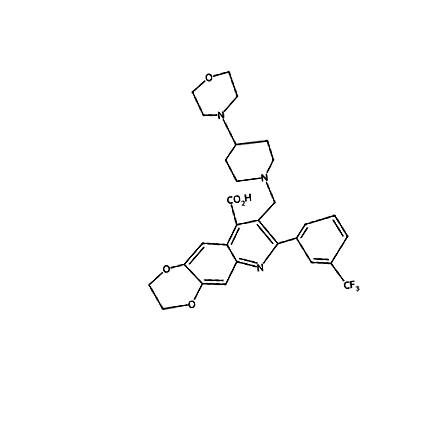 O=C(O)c1c(CN2CCC(N3CCOCC3)CC2)c(-c2cccc(C(F)(F)F)c2)nc2cc3c(cc12)OCCO3